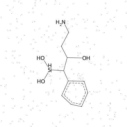 NCCC(O)C(c1ccccc1)[SiH](O)O